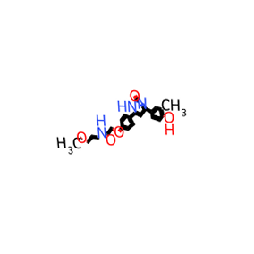 COCCCNC(=O)COc1ccc(-c2cc(-c3ccc(O)c(C)c3)nc(=O)[nH]2)cc1